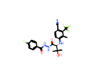 Cc1c(N[C@@H](C(=O)NNC(=O)c2ccc(F)cc2)C(C)(C)O)ccc(C#N)c1C(F)(F)F